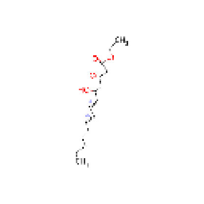 CCCCC/C=C/C=C/C(O)CC(=O)CC(=O)OCC